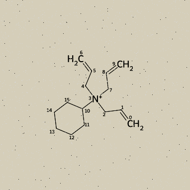 C=CC[N+](CC=C)(CC=C)C1CCCCC1